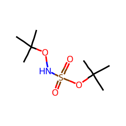 CC(C)(C)ONS(=O)(=O)OC(C)(C)C